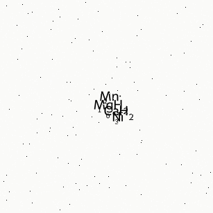 [CaH2].[MgH2].[Mn].[Ni]